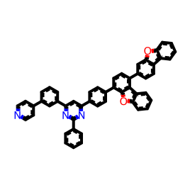 c1ccc(-c2nc(-c3ccc(-c4ccc(-c5ccc6c(c5)oc5ccccc56)c5c4oc4ccccc45)cc3)cc(-c3cccc(-c4ccncc4)c3)n2)cc1